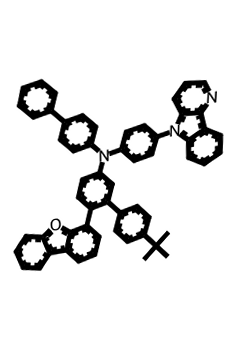 CC(C)(C)c1ccc(-c2cc(N(c3ccc(-c4ccccc4)cc3)c3ccc(-n4c5ccccc5c5ncccc54)cc3)ccc2-c2cccc3c2oc2ccccc23)cc1